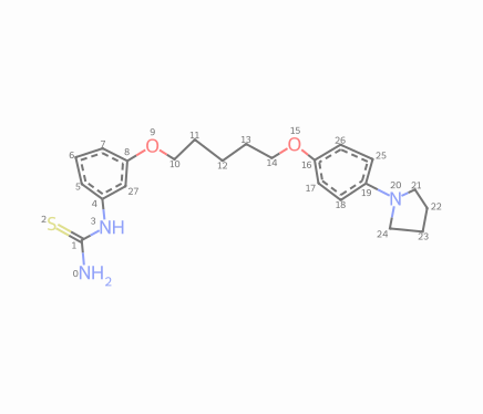 NC(=S)Nc1cccc(OCCCCCOc2ccc(N3CCCC3)cc2)c1